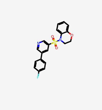 O=S(=O)(c1cncc(-c2ccc(F)cc2)c1)N1CCOc2ccccc21